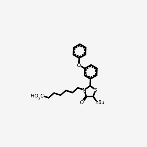 CCCCC1SC(c2cccc(Oc3ccccc3)c2)N(CCCCCCC(=O)O)C1=O